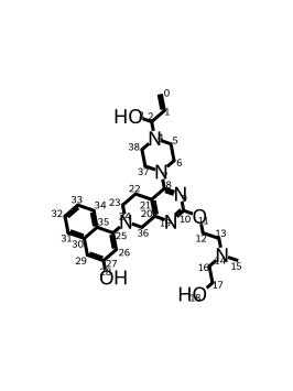 C=CC(O)N1CCN(c2nc(OCCN(C)CCO)nc3c2CCN(c2cc(O)cc4ccccc24)C3)CC1